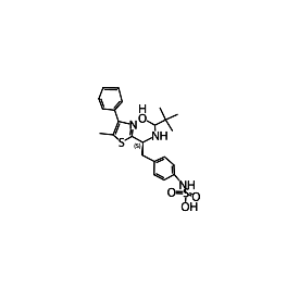 Cc1sc([C@H](Cc2ccc(NS(=O)(=O)O)cc2)NC(O)C(C)(C)C)nc1-c1ccccc1